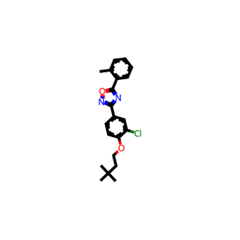 Cc1ccccc1-c1nc(-c2ccc(OCCC(C)(C)C)c(Cl)c2)no1